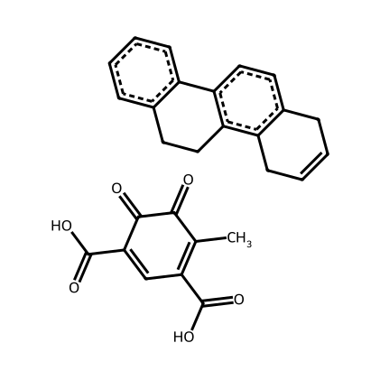 C1=CCc2c(ccc3c2CCc2ccccc2-3)C1.CC1=C(C(=O)O)C=C(C(=O)O)C(=O)C1=O